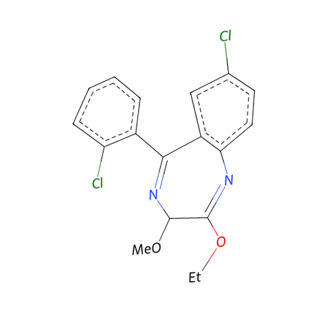 CCOC1=Nc2ccc(Cl)cc2C(c2ccccc2Cl)=NC1OC